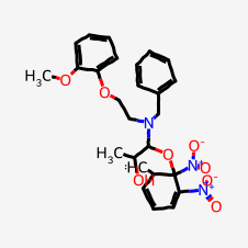 [CH]C1C=CC=C([N+](=O)[O-])C1(OC(C(C)O)N(CCOc1ccccc1OC)Cc1ccccc1)[N+](=O)[O-]